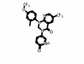 Cc1cc(OC(F)(F)F)ccc1N1CN(c2ccc(=O)[nH]c2)C(=O)c2cc(C(F)(F)F)cnc21